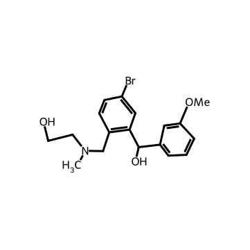 COc1cccc(C(O)c2cc(Br)ccc2CN(C)CCO)c1